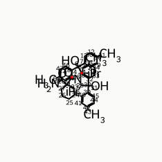 Cc1ccc(C(O)(c2ccc(C)cc2)[C@@H](C(C)C)N(C(=O)C2(C(N)=O)CCCCC2)[C@H](C(C)C)C(O)(c2ccc(C)cc2)c2ccc(C)cc2)cc1